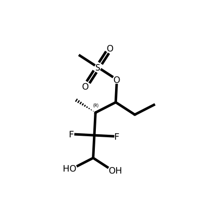 CCC(OS(C)(=O)=O)[C@@H](C)C(F)(F)C(O)O